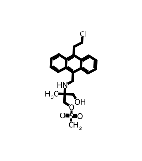 CC(CO)(COS(C)(=O)=O)NCc1c2ccccc2c(CCCl)c2ccccc12